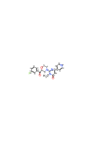 Cn1c(N2CCOC(C(=O)c3cccc(F)c3)C2)nc(-c2ccncc2)cc1=O